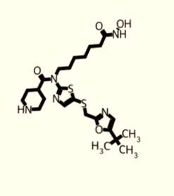 CC(C)(C)c1cnc(CSc2cnc(N(CCCCCCC(=O)NO)C(=O)C3CCNCC3)s2)o1